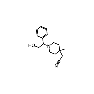 CC1(CC#N)CCN(C(CO)c2ccccc2)CC1